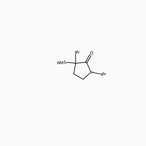 CSC1(C(C)C)CCN(C(C)C)C1=O